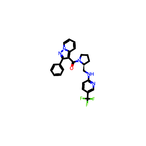 O=C(c1c(-c2ccccc2)nn2ccccc12)N1CCC[C@H]1CNc1ccc(C(F)(F)F)cn1